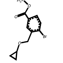 COC(=O)c1ccc(Br)c(COC2CC2)c1